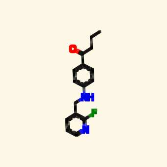 CCCC(=O)c1ccc(NCc2cccnc2F)cc1